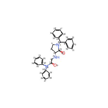 O=C(CNC1CCN(C(c2ccccc2)c2ccccc2)C1=O)N(c1ccccc1)c1ccccc1